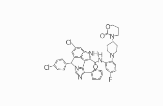 O=C(Nc1cc(F)ccc1N1CCC(N2CCCOC2=O)CC1)c1[nH]c2cc(Cl)cc3c2c1-c1c(-c2ccccc2)ncn1C3c1ccc(Cl)cc1